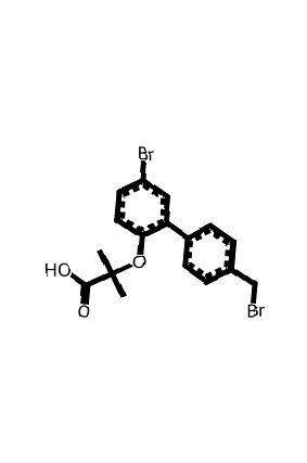 CC(C)(Oc1ccc(Br)cc1-c1ccc(CBr)cc1)C(=O)O